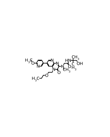 CCCOCCn1c(=O)c(N(C)CC(=O)NC(C)(C)CO)nc2ncc(-c3ccc(OC)nc3)cc21